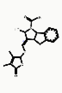 CCCC(=O)N1C(O)/C(=C/OC2OC(=O)C(C)=C2C)C2Cc3ccccc3C21